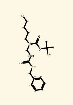 CCCC(C)(C)OC(=O)N(CCCCO)CNC(=O)OCc1ccccc1